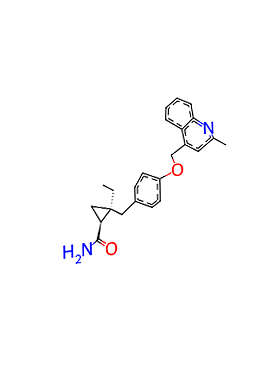 CC[C@@]1(Cc2ccc(OCc3cc(C)nc4ccccc34)cc2)C[C@@H]1C(N)=O